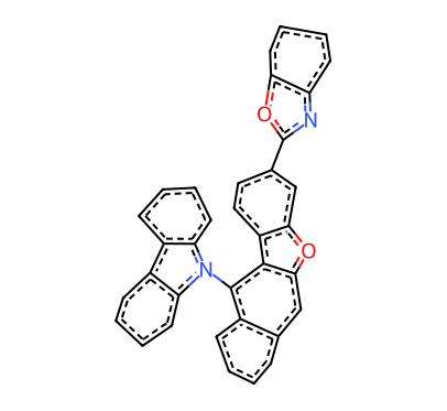 c1ccc2c(-n3c4ccccc4c4ccccc43)c3c(cc2c1)oc1cc(-c2nc4ccccc4o2)ccc13